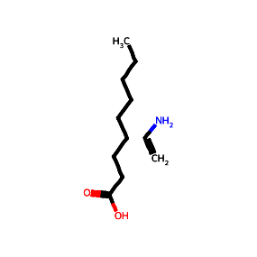 C=CN.CCCCCCCCC(=O)O